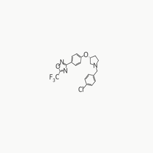 FC(F)(F)c1nc(-c2ccc(O[C@@H]3CCN(Cc4ccc(Cl)cc4)C3)cc2)no1